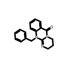 O=C1c2ccccc2N(Cc2ccccc2)C2=NCCCN12